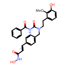 COc1c(O)cccc1CCN(Cc1ccc(/C=C/C(=O)NO)cc1)C(=O)NC(=O)c1ccccc1